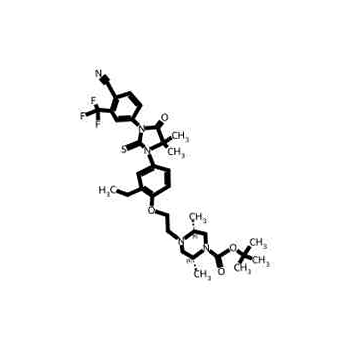 CCc1cc(N2C(=S)N(c3ccc(C#N)c(C(F)(F)F)c3)C(=O)C2(C)C)ccc1OCCN1C[C@@H](C)N(C(=O)OC(C)(C)C)C[C@H]1C